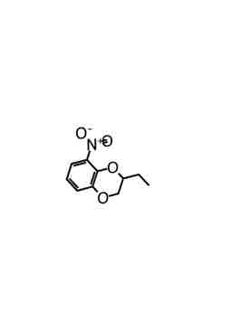 CCC1COc2cccc([N+](=O)[O-])c2O1